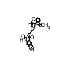 COc1cccc2c1[C@@H]1CN(CCCCn3c(=O)[nH]c4cc5ccncc5cc4c3=O)C[C@H]1CO2